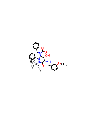 COc1cccc(CNC(C(=O)NC(C)(C)C)[C@@H](O)[C@H](Cc2ccccc2)N(Cc2ccccc2)C(=O)O)c1